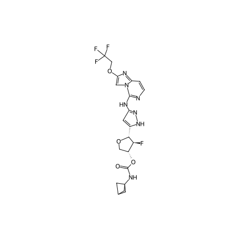 O=C(NC12CC(C1)C2)O[C@@H]1CO[C@H](c2cc(Nc3nccc4nc(OCC(F)(F)F)cn34)n[nH]2)[C@H]1F